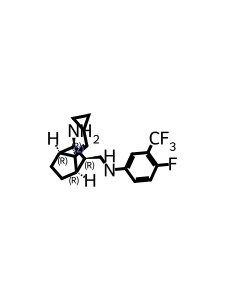 N[C@H]1[C@@H](CNc2ccc(F)c(C(F)(F)F)c2)[C@H]2CC[C@@H]1/C2=C\C1CC1